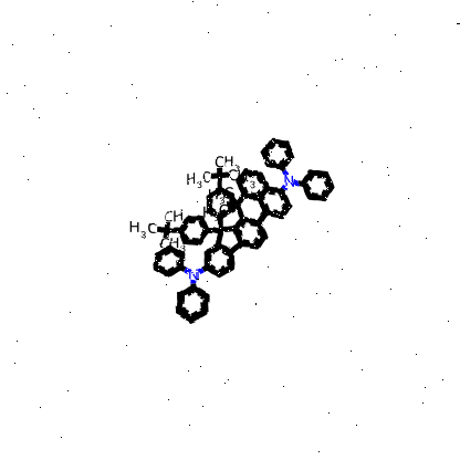 CC(C)(C)c1ccc(C2(c3ccc(C(C)(C)C)cc3)c3cc(N(c4ccccc4)c4ccccc4)ccc3-c3ccc4c(c32)C(C)(C)c2cccc3c(N(c5ccccc5)c5ccccc5)ccc-4c23)cc1